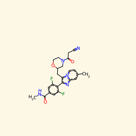 CNC(=O)c1cc(F)c(-c2nc3cc(C)ccn3c2CC2CN(C(=O)CC#N)CCO2)c(F)c1